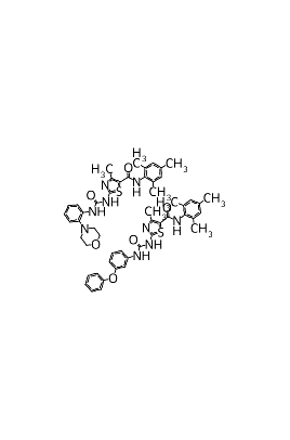 Cc1cc(C)c(NC(=O)c2sc(NC(=O)Nc3cccc(Oc4ccccc4)c3)nc2C)c(C)c1.Cc1cc(C)c(NC(=O)c2sc(NC(=O)Nc3ccccc3N3CCOCC3)nc2C)c(C)c1